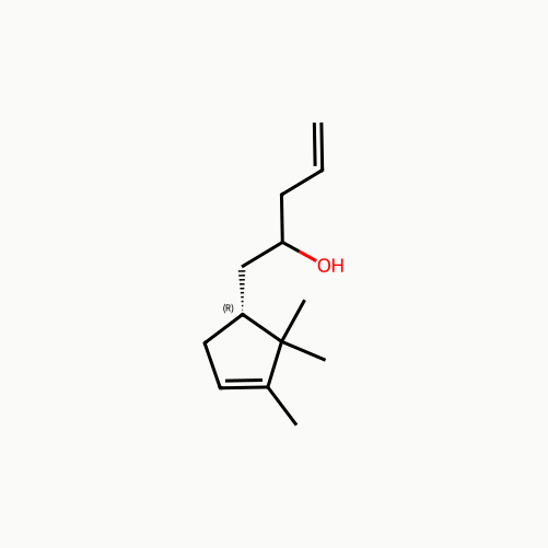 C=CCC(O)C[C@H]1CC=C(C)C1(C)C